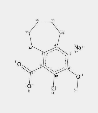 COc1cc2c(c(C(=O)[O-])c1Cl)CCCCC2.[Na+]